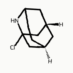 ClC12C[C@@H]3CC(C[C@@H](C3)C1)N2